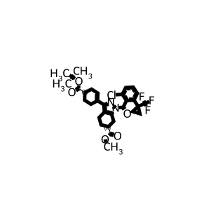 COC(=O)[C@@H]1CCc2c(C3=CC[C@@H](C(=O)OC(C)(C)C)CC3)nn(C(=O)c3c(Cl)cccc3C3(C(F)(F)F)CC3)c2C1